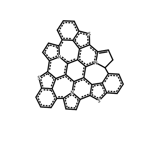 C1=c2c3sc4cccc5c4c3c3c4c6c7c(sc8cccc(c87)C(C1)n24)c1ccc2c4cccc7sc8c(c74)c(c6n21)c3n1c5ccc81